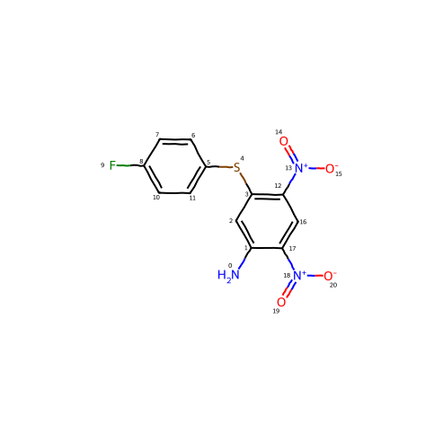 Nc1cc(Sc2ccc(F)cc2)c([N+](=O)[O-])cc1[N+](=O)[O-]